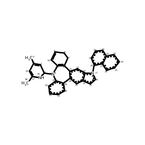 CC1=CC(N2C3=C(CCC=C3)c3cc4c(ccn4-c4cccc5ccccc45)cc3-c3ccccc32)NC(C)=C1